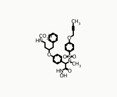 CC#CCOc1ccc(S(=O)(=O)N(C)C(C(=O)NO)c2ccc(OC(CCNC(=O)O)Cc3ccccc3)cc2)cc1